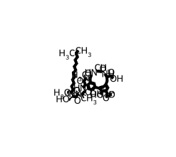 CC(C)CCCCCCCCCCC(=O)N(C)[C@H](CO)C(=O)N[C@H](C)C(=O)NCC(=O)N(C)C1C(=O)N[C@@H](C)C(=O)NC(C(=O)O)Cc2cc(c(O)c([N+](=O)[O-])c2)-c2cc1ccc2O